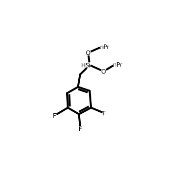 CCCO[SiH](Cc1cc(F)c(F)c(F)c1)OCCC